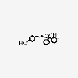 C#Cc1ccc(CCCCOC(C)(C2CCCCC2)C2CCCCC2)cc1